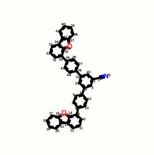 N#Cc1cc(-c2ccc(-c3cccc4c3oc3ccccc34)cc2)cc(-c2ccc(-c3cccc4c3oc3ccccc34)cc2)c1